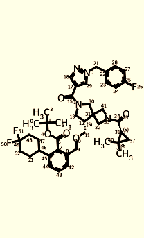 CC(C)(C)OC(=O)c1c(COC[C@@H]2CN(C(=O)c3cnn(Cc4ccc(F)cc4)c3)CC23CN(C(=O)[C@H]2CC2(C)C)C3)cccc1C1CCC(F)(F)CC1